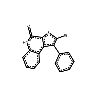 CCc1sc2c(=O)[nH]c3ccccc3c2c1-c1ccccc1